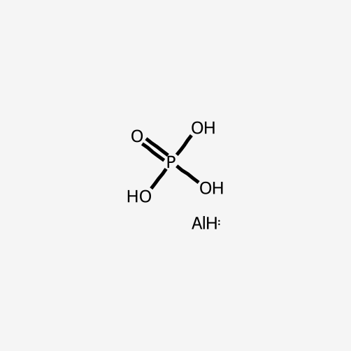 O=P(O)(O)O.[AlH]